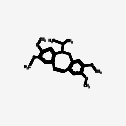 COc1cc2c(cc1OC)CC(C(C)C)c1cc(OC)c(OC)cc1/C=C\2